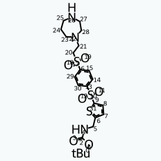 CC(C)(C)OC(=O)NCc1ccc(S(=O)(=O)c2ccc(S(=O)(=O)CCN3CCCNCC3)cc2)s1